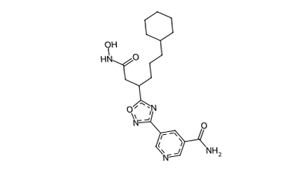 NC(=O)c1cncc(-c2noc(C(CCCC3CCCCC3)CC(=O)NO)n2)c1